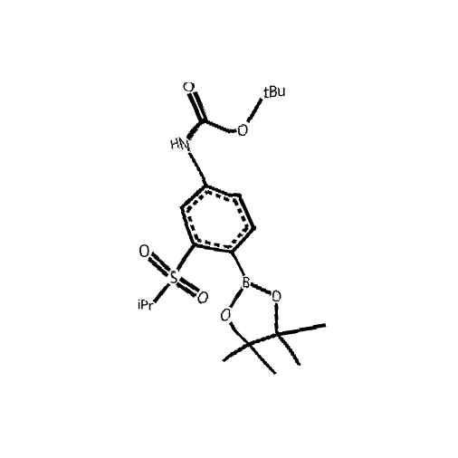 CC(C)S(=O)(=O)c1cc(NC(=O)OC(C)(C)C)ccc1B1OC(C)(C)C(C)(C)O1